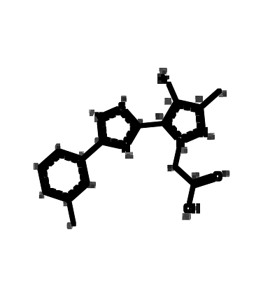 Cc1cccc(-c2nsc(-c3c(Br)c(C)nn3CC(=O)O)n2)c1